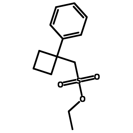 CCOS(=O)(=O)CC1(c2ccccc2)CCC1